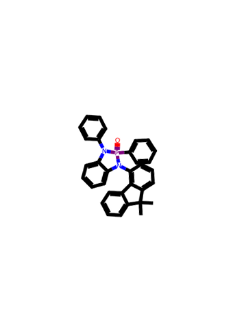 CC1(C)c2ccccc2-c2c(N3c4ccccc4N(c4ccccc4)P3(=O)c3ccccc3)cccc21